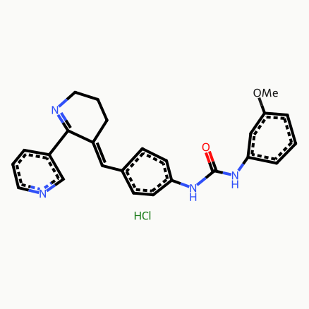 COc1cccc(NC(=O)Nc2ccc(C=C3CCCN=C3c3cccnc3)cc2)c1.Cl